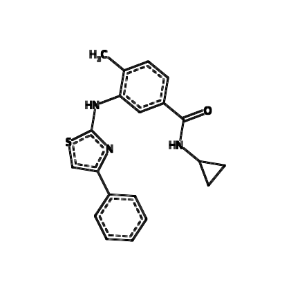 Cc1ccc(C(=O)NC2CC2)cc1Nc1nc(-c2ccccc2)cs1